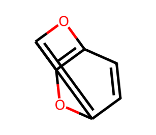 c1cc2oc3c1oc23